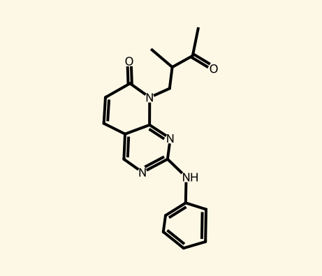 CC(=O)C(C)Cn1c(=O)ccc2cnc(Nc3ccccc3)nc21